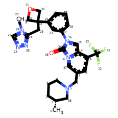 C[C@@H]1CCCN(Cc2cc(C(F)(F)F)c3cn(-c4cccc(C5(Cc6nncn6C)COC5)c4)c(=O)n3c2)C1